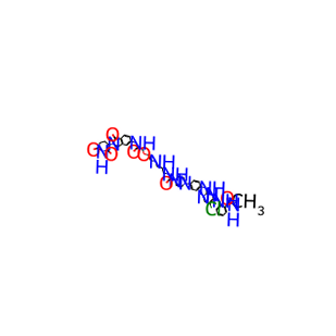 CNC(=O)c1ccccc1Nc1nc(Nc2ccc(N3CCN(C(=O)NCCCNCCOCC(=O)Nc4ccc5c(c4)CN(C4CCC(=O)NC4=O)C5=O)CC3)cc2)ncc1Cl